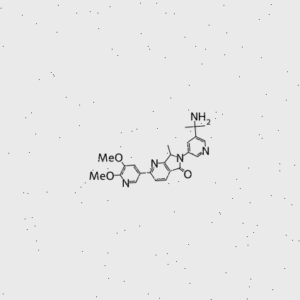 COc1cc(-c2ccc3c(n2)C(C)N(c2cncc(C(C)(C)N)c2)C3=O)cnc1OC